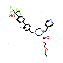 CCOCCOC(=O)[C@H]1CN(Cc2ccc(-c3ccc(C(O)(C(F)(F)F)C(F)(F)F)cc3)c(C)c2)CCN1Cc1ccncc1